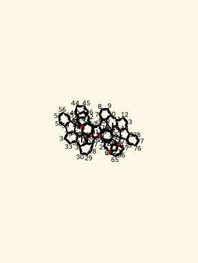 c1ccc(-c2c3c4cccc5c6ccc7c(c6n(c3c(-c3ccccc3)c3c6cccc8c9ccc%10c(c9n(c23)c86)C(c2ccccc2)(c2ccccc2)c2ccccc2-%10)c54)C(c2ccccc2)(c2ccccc2)c2ccccc2-7)cc1